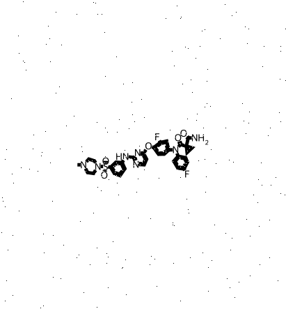 CN1CCN(S(=O)(=O)c2cccc(Nc3nccc(Oc4ccc(N(C(=O)C5(C(N)=O)CC5)c5ccc(F)cc5)cc4F)n3)c2)CC1